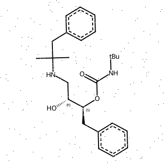 CC(C)(C)NC(=O)O[C@@H](Cc1ccccc1)[C@H](O)CNC(C)(C)Cc1ccccc1